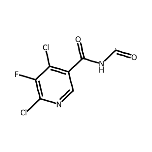 O=[C]NC(=O)c1cnc(Cl)c(F)c1Cl